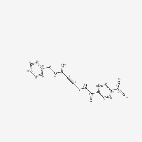 O=C(C#CCNC(=O)c1ccc([SH](=O)=O)cn1)OCc1ccccc1